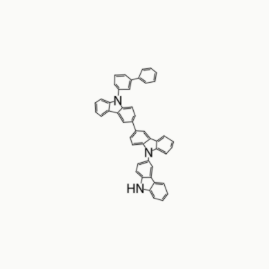 c1ccc(-c2cccc(-n3c4ccccc4c4cc(-c5ccc6c(c5)c5ccccc5n6-c5ccc6[nH]c7ccccc7c6c5)ccc43)c2)cc1